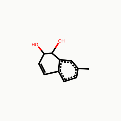 Cc1ccc2c(c1)C(O)C(O)C=C2